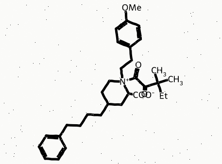 CCC(C)(C)C(=O)C(=O)[N+]1(CCc2ccc(OC)cc2)CCC(CCCCc2ccccc2)CC1C(=O)[O-]